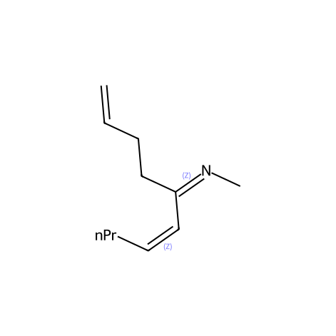 C=CCCC(/C=C\CCC)=N/C